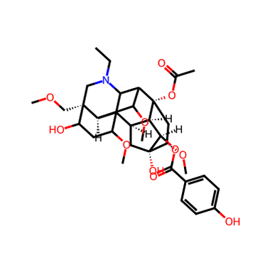 CCN1C[C@]2(COC)C(O)CC(OC)C34C1C(C(OC)[C@@H]32)[C@@]1(OC(C)=O)C[C@H](OC)[C@@]2(O)C[C@@H]4[C@@H]1[C@H]2OC(=O)c1ccc(O)cc1